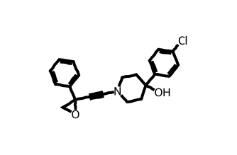 OC1(c2ccc(Cl)cc2)CCN(C#CC2(c3ccccc3)CO2)CC1